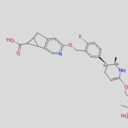 C[C@H]1NC(OCCC(C)(C)O)=CC[C@H]1c1ccc(F)c(COc2cc3c(cn2)C2C(C3)C2C(=O)O)c1